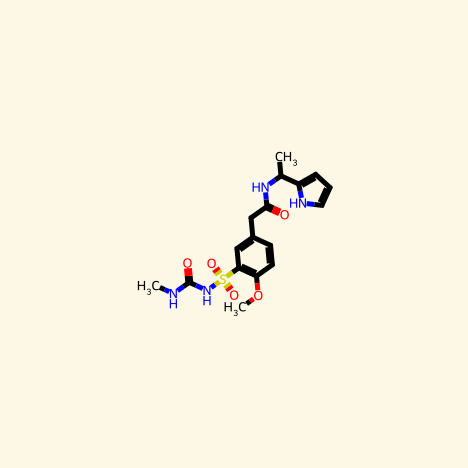 CNC(=O)NS(=O)(=O)c1cc(CC(=O)NC(C)c2ccc[nH]2)ccc1OC